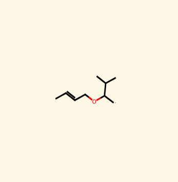 [CH2]C(OCC=CC)C(C)C